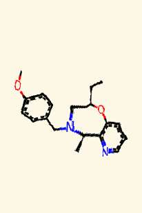 CC[C@@H]1CN(Cc2ccc(OC)cc2)[C@H](C)c2ncccc2O1